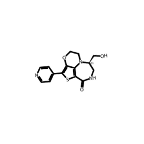 O=C1NC[C@H](CO)N2CCOc3c(-c4ccncc4)sc1c32